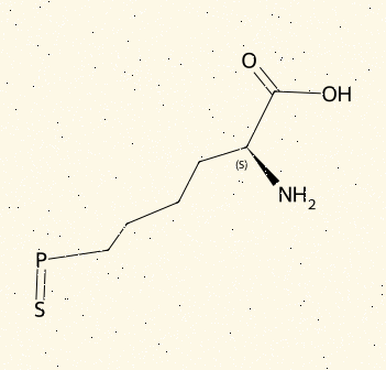 N[C@@H](CCCCP=S)C(=O)O